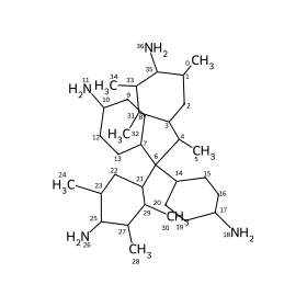 CC1CC(C(C)C(C2CCC(N)CC2)(C2CCC(N)CC2)C2CC(C)C(N)C(C)C2C)C(C)C(C)C1N